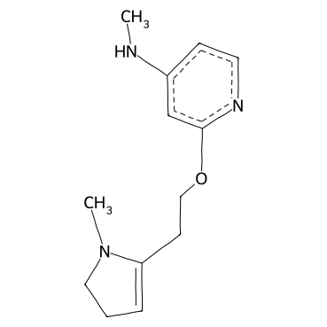 CNc1ccnc(OCCC2=CCCN2C)c1